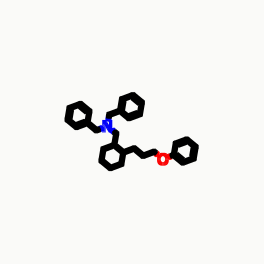 c1ccc(CN(Cc2ccccc2)CC2CCCCC2CCCOc2ccccc2)cc1